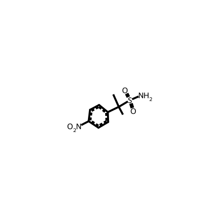 CC(C)(c1ccc([N+](=O)[O-])cc1)S(N)(=O)=O